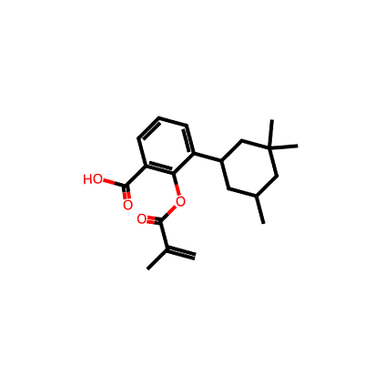 C=C(C)C(=O)Oc1c(C(=O)O)cccc1C1CC(C)CC(C)(C)C1